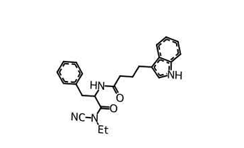 CCN(C#N)C(=O)C(Cc1ccccc1)NC(=O)CCCc1c[nH]c2ccccc12